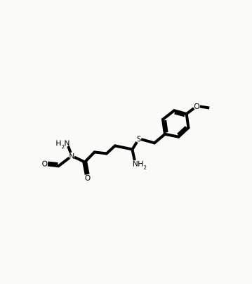 COc1ccc(CSC(N)CCCC(=O)N(N)C=O)cc1